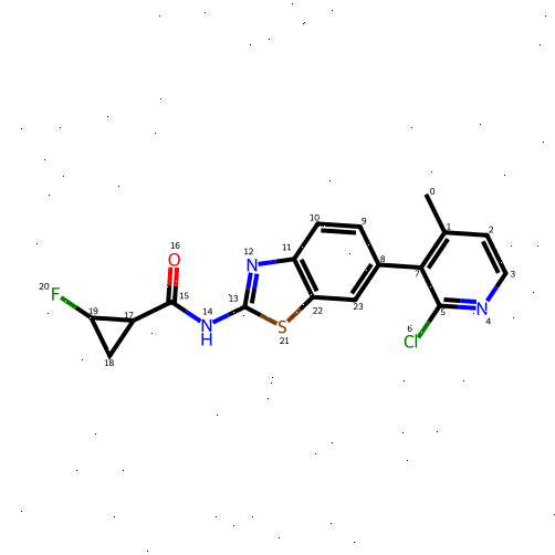 Cc1ccnc(Cl)c1-c1ccc2nc(NC(=O)C3CC3F)sc2c1